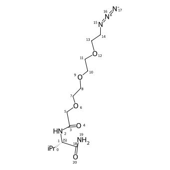 CC(C)[C@H](NC(=O)COCCOCCOCCN=[N+]=[N-])C(N)=O